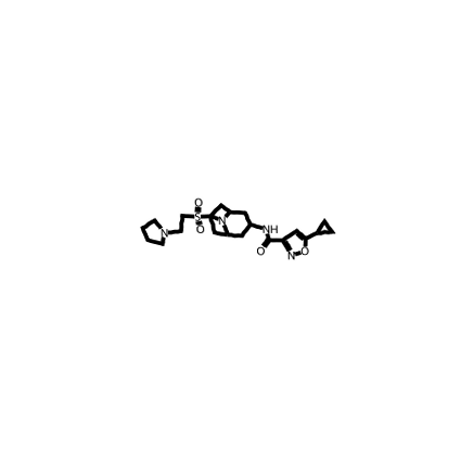 O=C(NC1CC2CC3(S(=O)(=O)CCN4CCCC4)CC(C1)N23)c1cc(C2CC2)on1